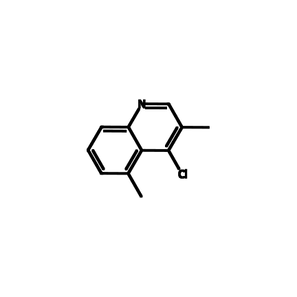 Cc1cnc2cccc(C)c2c1Cl